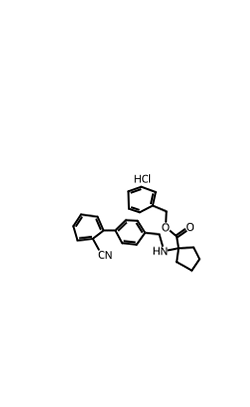 Cl.N#Cc1ccccc1-c1ccc(CNC2(C(=O)OCc3ccccc3)CCCC2)cc1